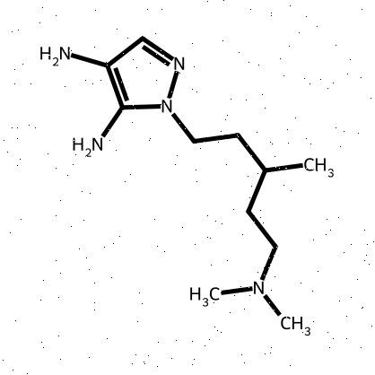 CC(CCN(C)C)CCn1ncc(N)c1N